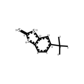 CC(C)(C)c1ccc2sc(=S)sc2c1